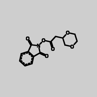 O=C(CC1COCCO1)ON1C(=O)c2ccccc2C1=O